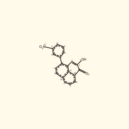 O=C1C(O)=Cc2c(-c3cccc([N+](=O)[O-])c3)ccc3cccc1c23